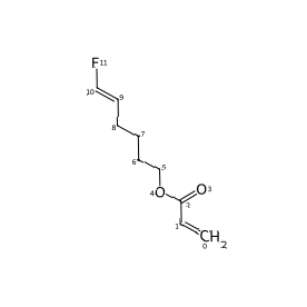 C=CC(=O)OCCCCC=CF